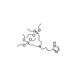 CCO[Si](CCCN(CCCc1ncc[nH]1)CCC[Si](OCC)(OCC)OCC)(OCC)OCC